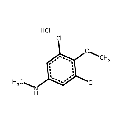 CNc1cc(Cl)c(OC)c(Cl)c1.Cl